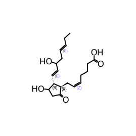 CC/C=C/CC(O)/C=C/[C@H]1C(O)CC(=O)[C@@H]1C/C=C\CCCC(=O)O